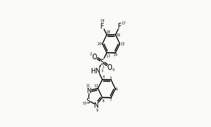 O=S(=O)(Nc1cccc2nsnc12)c1ccc(F)c(F)c1